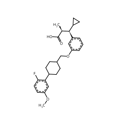 COc1ccc(F)c(C2CCC(COc3cccc([C@H](C4CC4)[C@H](C)C(=O)O)c3)CC2)c1